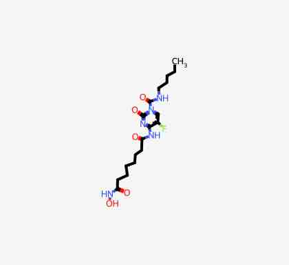 CCCCCNC(=O)n1cc(F)c(NC(=O)CCCCCCC(=O)NO)nc1=O